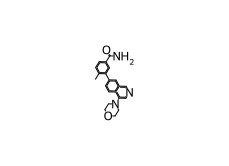 Cc1ccc(C(N)=O)cc1-c1ccc2c(N3CCOCC3)cncc2c1